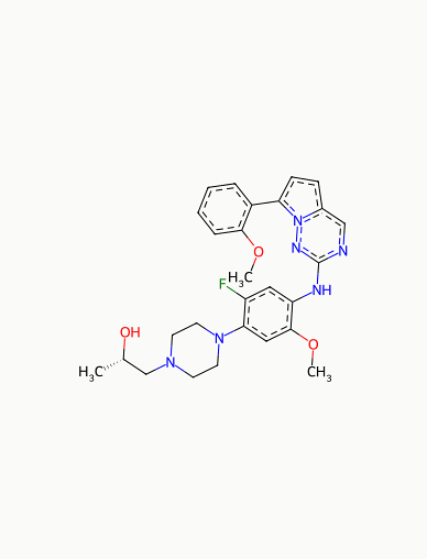 COc1cc(N2CCN(C[C@H](C)O)CC2)c(F)cc1Nc1ncc2ccc(-c3ccccc3OC)n2n1